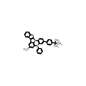 Cc1cc2c3c(c1)N(c1ccccc1)c1cc(-c4ccc(C(C)(C)C)cc4)ccc1B3c1sc3ccccc3c1-2